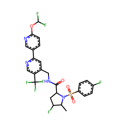 CC1C(F)CC(C(=O)NCc2cc(-c3ccc(OC(F)F)nc3)ncc2C(F)(F)F)N1S(=O)(=O)c1ccc(F)cc1